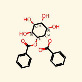 O=C(O[C@H]1[C@H](O)[C@@H](O)[C@H](O)[C@H](O)[C@@H]1OC(=O)c1ccccc1)c1ccccc1